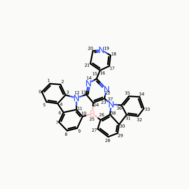 c1ccc2c(c1)c1cccc3c1n2-c1nc(-c2ccncc2)nc2c1B3c1cccc3c4ccccc4n-2c13